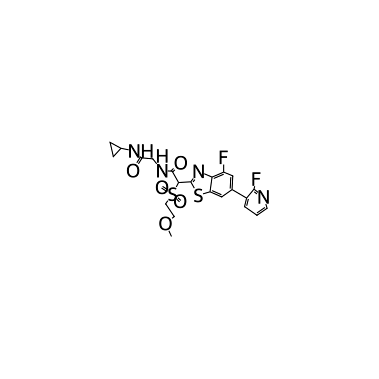 COCCS(=O)(=O)C(C(=O)NCC(=O)NC1CC1)c1nc2c(F)cc(-c3cccnc3F)cc2s1